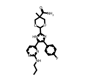 CCCNc1nccc(-c2[nH]c(C3OCC(C)(C(N)=O)CO3)nc2-c2ccc(F)cc2)n1